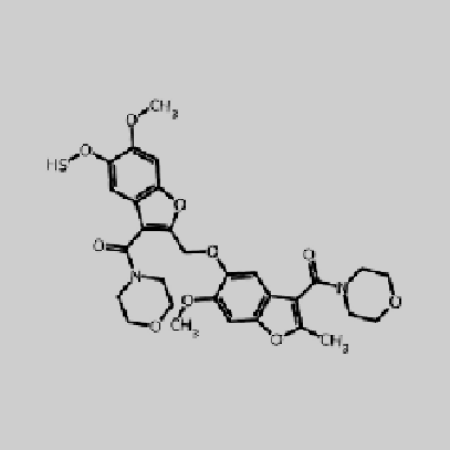 COc1cc2oc(COc3cc4c(C(=O)N5CCOCC5)c(C)oc4cc3OC)c(C(=O)N3CCOCC3)c2cc1OS